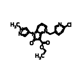 CCOC(=O)c1c2n(Cc3ccc(Cl)nc3)cccc-2n(-c2cnn(C)c2)c1=O